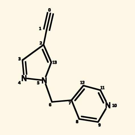 C#Cc1cnn(Cc2ccncc2)c1